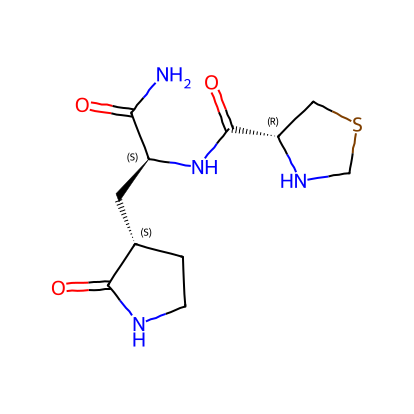 NC(=O)[C@H](C[C@@H]1CCNC1=O)NC(=O)[C@@H]1CSCN1